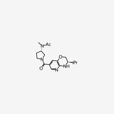 CC(=O)N(C)[C@H]1CCN(C(=O)c2cnc3c(c2)OC[C@@H](C(C)C)N3)C1